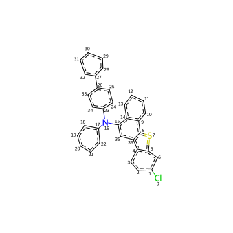 Clc1ccc2c(c1)sc1c3ccccc3c(N(c3ccccc3)c3ccc(-c4ccccc4)cc3)cc21